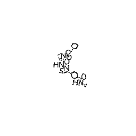 O=C(NC1CC1)c1ccc(-c2csc(NC(=O)[C@@H]3CCCN3C(=O)OCc3ccccc3)n2)cc1